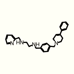 C1=C(c2ccccc2)CCN(Cc2ccc(CNCCNCc3ccccn3)cc2)C1